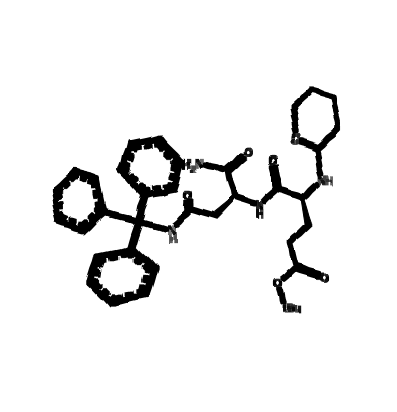 CC(C)(C)OC(=O)CC[C@H](NC1CCCCO1)C(=O)N[C@@H](CC(=O)NC(c1ccccc1)(c1ccccc1)c1ccccc1)C(N)=O